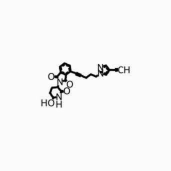 C#Cc1cnn(CCCC#Cc2cccc3c2C(=O)N(C2CCC(O)NC2=O)C3=O)c1